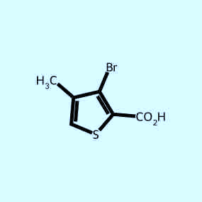 Cc1csc(C(=O)O)c1Br